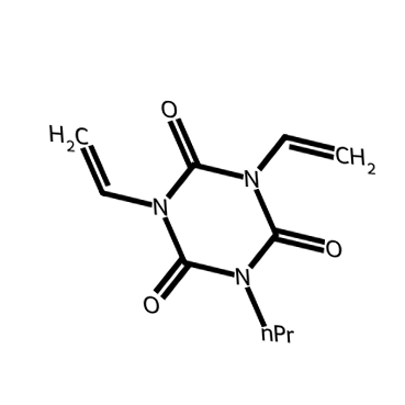 C=Cn1c(=O)n(C=C)c(=O)n(CCC)c1=O